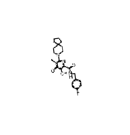 Cn1c(N2CCC3(CCCC3)CC2)nc(C(=O)NCc2ccc(F)cc2)c(O)c1=O